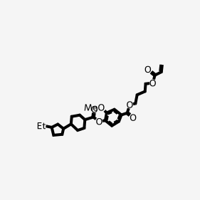 C=CC(=O)OCCCCOC(=O)c1ccc(OC(=O)C2CCC(C3CCC(CC)C3)CC2)c(OC)c1